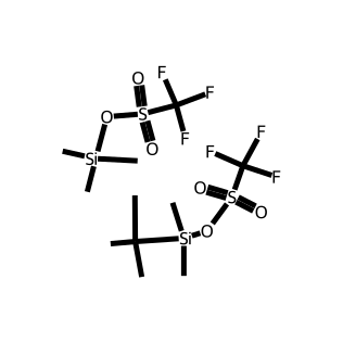 CC(C)(C)[Si](C)(C)OS(=O)(=O)C(F)(F)F.C[Si](C)(C)OS(=O)(=O)C(F)(F)F